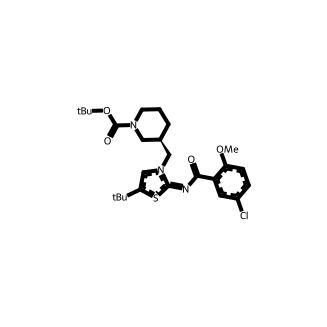 COc1ccc(Cl)cc1C(=O)N=c1sc(C(C)(C)C)cn1C[C@@H]1CCCN(C(=O)OC(C)(C)C)C1